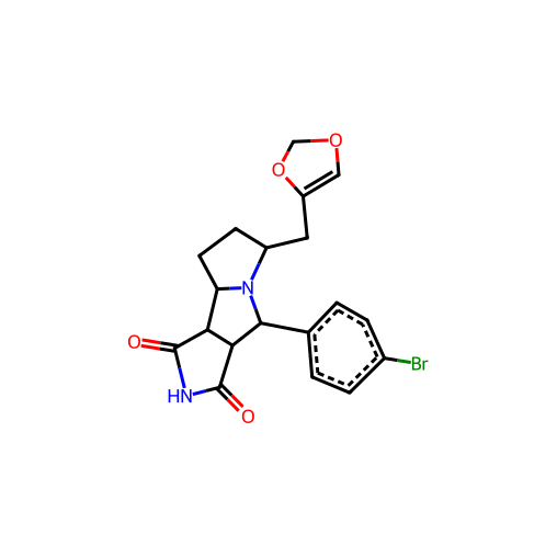 O=C1NC(=O)C2C1C1CCC(CC3=COCO3)N1C2c1ccc(Br)cc1